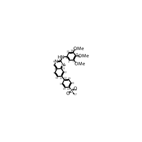 COc1cc(Nc2ncc3ccc(-c4ccc(S(C)(=O)=O)cc4)cc3n2)cc(OC)c1OC